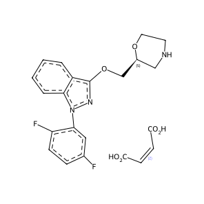 Fc1ccc(F)c(-n2nc(OC[C@@H]3CNCCO3)c3ccccc32)c1.O=C(O)/C=C\C(=O)O